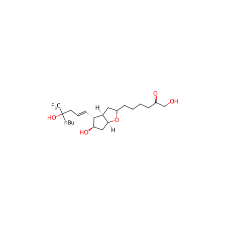 CCCCC(O)(C/C=C/[C@@H]1[C@H]2CC(CCCCC(=O)CO)O[C@H]2C[C@H]1O)C(F)(F)F